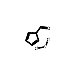 O=CC1C=CC=C1.[Cl][V][Cl]